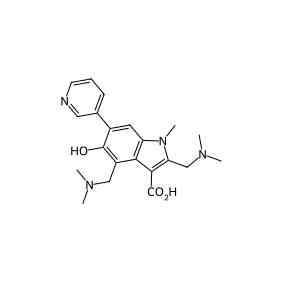 CN(C)Cc1c(O)c(-c2cccnc2)cc2c1c(C(=O)O)c(CN(C)C)n2C